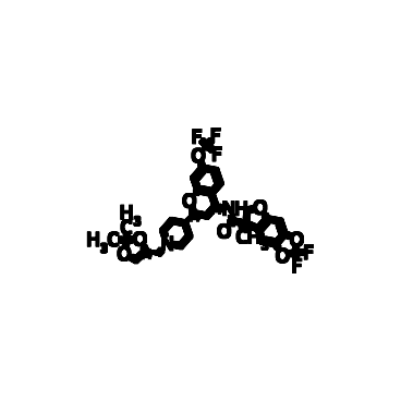 CC1(C)OC[C@H](CN2CCC([C@@H]3C[C@H](NC(=O)[C@@]4(C)COc5cc6c(cc54)OC(F)(F)O6)c4ccc(OC(F)(F)F)cc4O3)CC2)O1